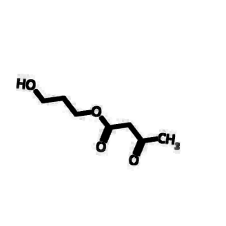 CC(=O)CC(=O)OCCCO